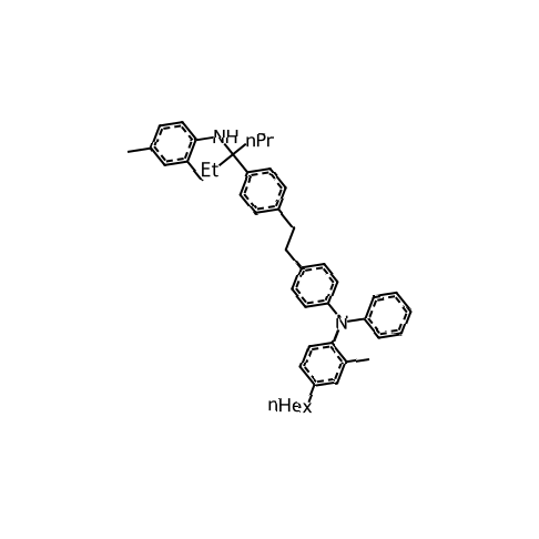 CCCCCCc1ccc(N(c2ccccc2)c2ccc(CCc3ccc(C(CC)(CCC)Nc4ccc(C)cc4C)cc3)cc2)c(C)c1